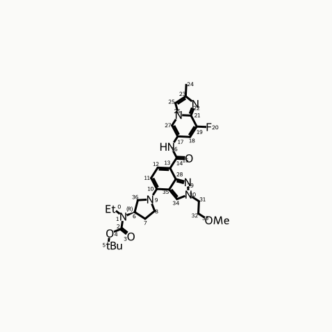 CCN(C(=O)OC(C)(C)C)[C@@H]1CCN(c2ccc(C(=O)Nc3cc(F)c4nc(C)cn4c3)c3nn(CCOC)cc23)C1